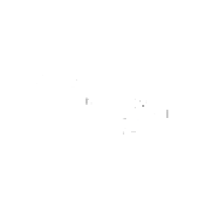 C=C(/C(=C/C)SC)C1CCCN(Cc2cccc3ccccc23)CC1